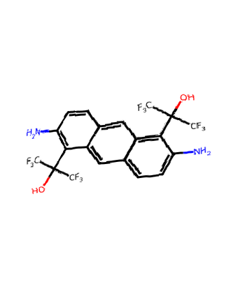 Nc1ccc2cc3c(C(O)(C(F)(F)F)C(F)(F)F)c(N)ccc3cc2c1C(O)(C(F)(F)F)C(F)(F)F